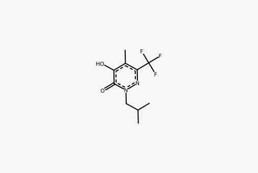 Cc1c(C(F)(F)F)nn(CC(C)C)c(=O)c1O